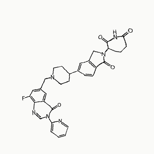 O=C1CCC(N2Cc3cc(C4CCN(Cc5cc(F)c6ncn(-c7ccccn7)c(=O)c6c5)CC4)ccc3C2=O)C(=O)N1